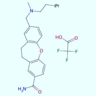 CC(C)CCN(C)Cc1ccc2c(c1)CCc1cc(C(N)=O)ccc1O2.O=C(O)C(F)(F)F